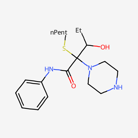 CCCCCSC(C(=O)Nc1ccccc1)(C(O)CC)N1CCNCC1